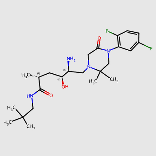 C[C@H](C[C@H](O)[C@@H](N)CN1CC(=O)N(c2cc(F)ccc2F)CC1(C)C)C(=O)NCC(C)(C)C